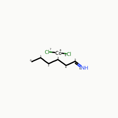 CCCCCC=N.[Cl][Co][Cl]